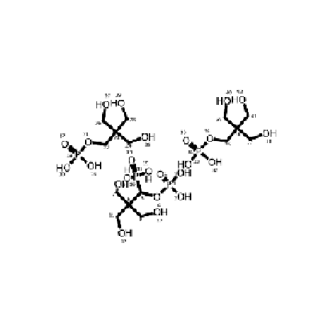 O=P(O)(O)OC(C(CO)(CO)CO)P(=O)(O)O.O=P(O)(O)OCC(CO)(CO)CO.O=P(O)(O)OCC(CO)(CO)CO